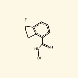 C[C@H]1CCc2c(C(=N)NO)cccc21